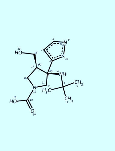 CC(C)(C)N[C@@]1(c2ccns2)CN(C(=O)O)C[C@H]1CO